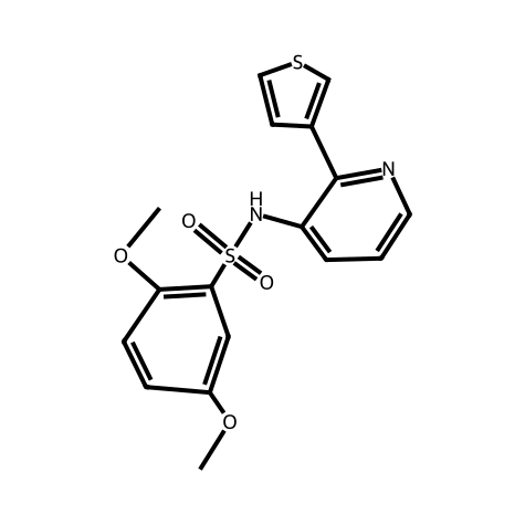 COc1ccc(OC)c(S(=O)(=O)Nc2cccnc2-c2ccsc2)c1